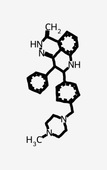 C=C1NN=C2c3c(cccc31)NC(c1ccc(CN3CCN(C)CC3)cc1)C2c1ccccc1